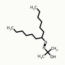 CCCCCCC(CCCCCC)/N=N/C(C)(C)O